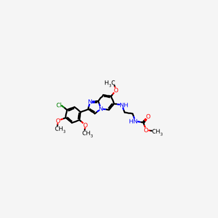 COC(=O)NCCNc1cn2cc(-c3cc(Cl)c(OC)cc3OC)nc2cc1OC